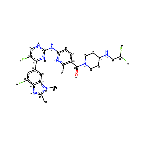 Cc1nc(Nc2ncc(F)c(-c3cc(F)c4nc(C)n(C(C)C)c4c3)n2)ccc1C(=O)N1CCC(NCC(F)F)CC1